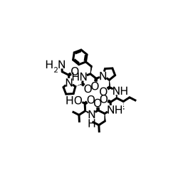 CC[C@H](C)[C@H](NC(=O)[C@@H]1CCCN1C(=O)[C@H](Cc1ccccc1)NC(=O)[C@@H]1CCCN1C(=O)CN)C(=O)N[C@@H](CC(C)C)C(=O)N[C@H](C(=O)O)C(C)C